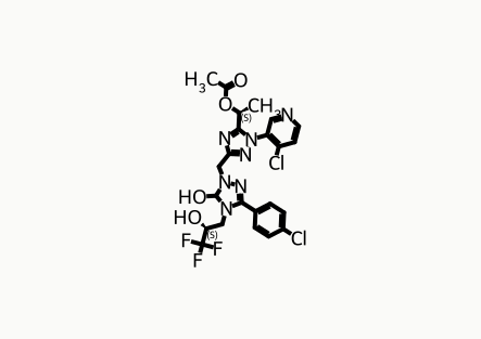 CC(=O)O[C@@H](C)c1nc(CN2N=C(c3ccc(Cl)cc3)N(C[C@H](O)C(F)(F)F)C2O)nn1-c1cnccc1Cl